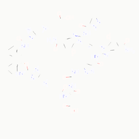 CCn1nc(C)cc1C(=O)Nc1nc2cc(C(N)=O)cc(OC)c2n1C/C=C/Cn1c(NC(=O)c2cc(C)nn2CC)nc2cc(C(N)=O)cc(OCCCNC(=O)CNC(=O)[C@H](CC(=O)O)NC(=O)CCCN3CCc4c(nc(C(=O)Nc5cccc(-c6cccc(NC(=O)c7nc8c(n7C)CCN(CCCC(=O)O)C8)c6Cl)c5Cl)n4C)C3)c21